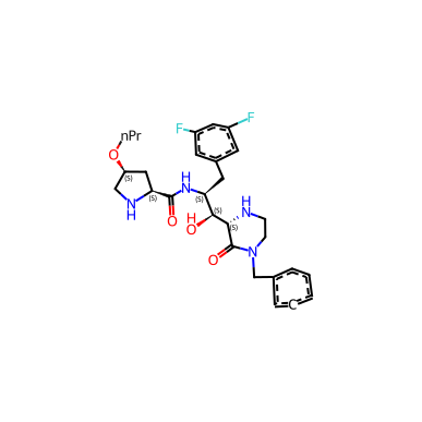 CCCO[C@@H]1CN[C@H](C(=O)N[C@@H](Cc2cc(F)cc(F)c2)[C@H](O)[C@@H]2NCCN(Cc3ccccc3)C2=O)C1